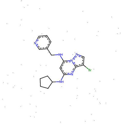 Brc1cnn2c(NCc3cccnc3)cc(NC3CCCC3)nc12